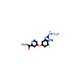 CCOC(=O)Nc1nc2cc(Oc3ccnc(C(=O)NC)c3)ccc2n1C